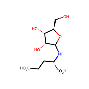 O=C(O)CC[C@H](NC1O[C@H](CO)[C@@H](O)[C@H]1O)C(=O)O